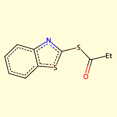 CCC(=O)Sc1nc2ccccc2s1